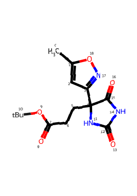 Cc1cc(C2(CCC(=O)OC(C)(C)C)NC(=O)NC2=O)no1